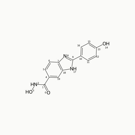 O=C(NO)c1ccc2nc(-c3ccc(O)cc3)[nH]c2c1